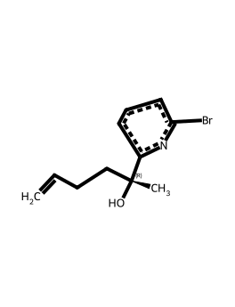 C=CCC[C@@](C)(O)c1cccc(Br)n1